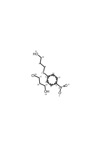 O=[N+]([O-])c1ccc(SCCCO)cc1.OCCCCl